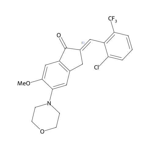 COc1cc2c(cc1N1CCOCC1)C/C(=C\c1c(Cl)cccc1C(F)(F)F)C2=O